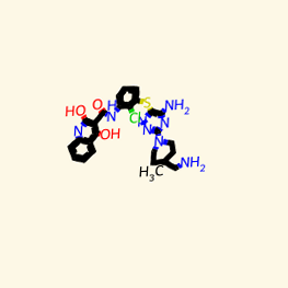 CC1(CN)CCN(c2nnc(Sc3cccc(NC(=O)c4c(O)nc5ccccc5c4O)c3Cl)c(N)n2)CC1